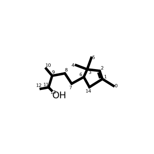 CC1=CC(C)(C)C(CCC(C)C(C)O)C1